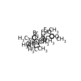 CCS(CC)(CC)c1cc(Br)nc([C@](C)(CS(=O)(=NCC(F)(F)F)N(C)Cc2ccc(OC)cc2OC)NSC(C)(C)C)c1F